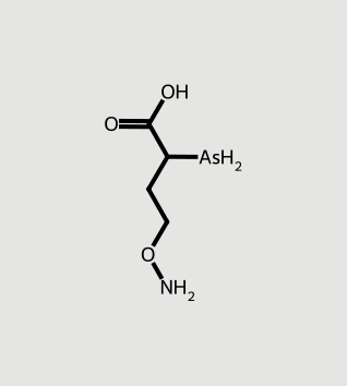 NOCCC([AsH2])C(=O)O